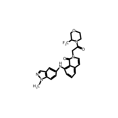 Cn1ncc2cc(Nc3cccc4ccn(CC(=O)N5CCOCC5C(F)(F)F)c(=O)c34)ccc21